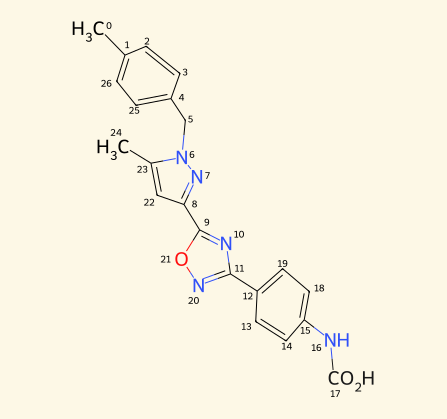 Cc1ccc(Cn2nc(-c3nc(-c4ccc(NC(=O)O)cc4)no3)cc2C)cc1